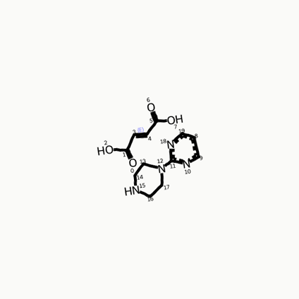 O=C(O)/C=C/C(=O)O.c1cnc(N2CCNCC2)nc1